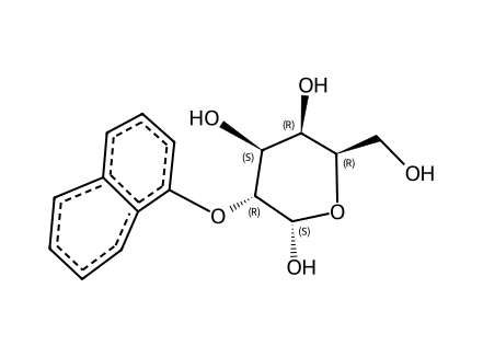 OC[C@H]1O[C@H](O)[C@H](Oc2cccc3ccccc23)[C@@H](O)[C@H]1O